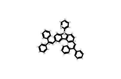 C(=C(c1ccccc1)c1ccccc1)c1ccc2c(c1)c1cc(C=C(c3ccccc3)c3ccccc3)ccc1n2-c1ccccn1